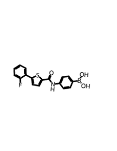 O=C(Nc1ccc(B(O)O)cc1)c1ccc(-c2ccccc2F)s1